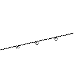 CCCCCCCCCCCCCCCC(=O)CCCCCCCCCCCCCCCC(=O)CCCCCCCCCCCCCCCC(=O)CCCCCCCCCCCCCCC